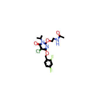 CC(=O)NCCOc1nc(OCc2ccc(F)cc2F)c(Cl)c(=O)n1C(C)C